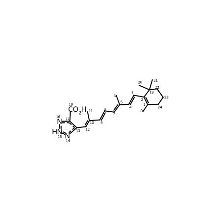 CC1=C(/C=C/C(C)=C/C=C/C(C)=C/c2n[nH]nc2C(=O)O)C(C)(C)CCC1